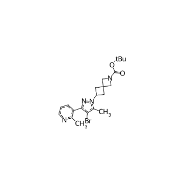 Cc1ncccc1-c1nn(C2CC3(C2)CN(C(=O)OC(C)(C)C)C3)c(C)c1Br